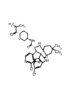 CN(C)C(=O)[C@@H]1CC[C@@H](NC(=O)[C@@H]2NC3(CCC(C)(C)CC3)[C@@]3(C(=O)Nc4cc(Cl)ccc43)[C@H]2c2ccnc(Cl)c2F)CO1